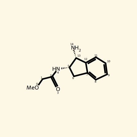 COCC(=O)N[C@H]1Cc2ccccc2[C@H]1N